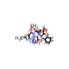 COC[C@H](NC(=O)c1cnc(C)s1)C(=O)N([C@@H](COC)C(N)=O)[C@@H](Cc1ccccc1)C(=O)[C@@]1(C)CO1